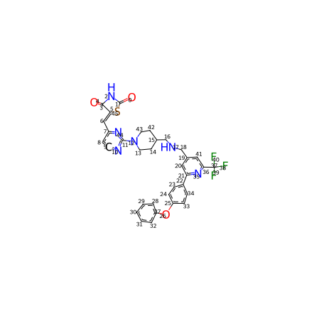 O=C1NC(=O)C(=Cc2ccnc(N3CCC(CNCc4cc(-c5ccc(Oc6ccccc6)cc5)nc(C(F)(F)F)c4)CC3)n2)S1